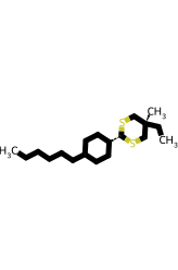 CCCCCCC1CCC([C@H]2SC[C@](C)(CC)CS2)CC1